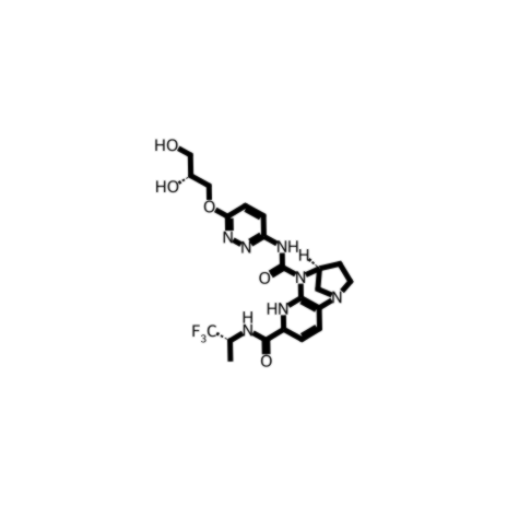 C[C@@H](NC(=O)C1C=CC2=C(N1)N(C(=O)Nc1ccc(OC[C@H](O)CO)nn1)[C@H]1CCN2C1)C(F)(F)F